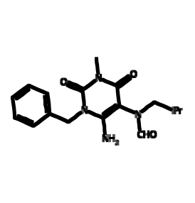 CC(C)CN(C=O)c1c(N)n(Cc2ccccc2)c(=O)n(C)c1=O